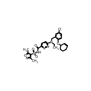 CCN(Cc1cc(Cl)ccc1OC1C=CCCC1)c1ccc(C(=O)NS(=O)(=O)c2c(C)noc2C)nn1